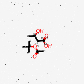 CC(=O)OC(C)(C)C.CC(O)CC(=O)O